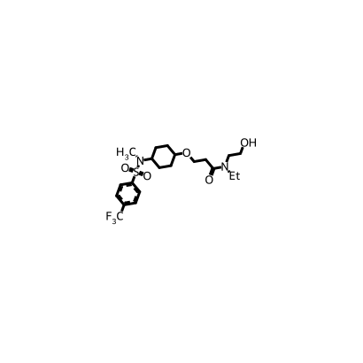 CCN(CCO)C(=O)CCOC1CCC(N(C)S(=O)(=O)c2ccc(C(F)(F)F)cc2)CC1